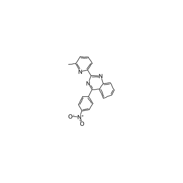 Cc1cccc(-c2nc(-c3ccc([N+](=O)[O-])cc3)c3ccccc3n2)n1